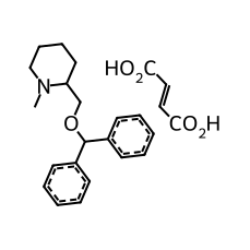 CN1CCCCC1COC(c1ccccc1)c1ccccc1.O=C(O)C=CC(=O)O